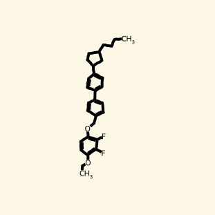 CCCCC1CCC(c2ccc(-c3ccc(COc4ccc(OCC)c(F)c4F)cc3)cc2)C1